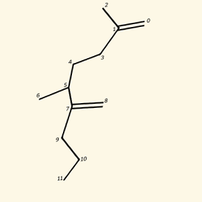 C=C(C)CCC(C)C(=C)CCC